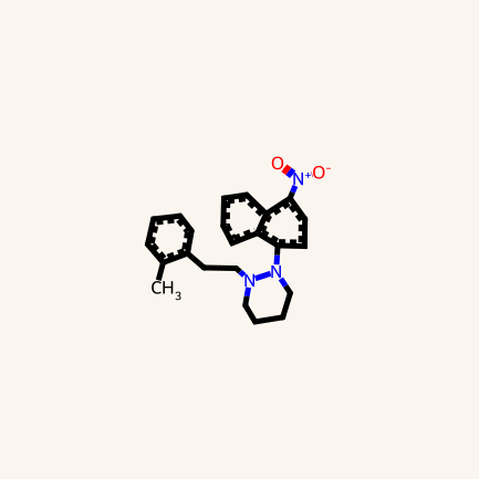 Cc1ccccc1CCN1CCCCN1c1ccc([N+](=O)[O-])c2ccccc12